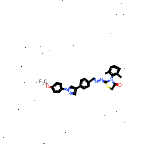 Cc1cccc(C)c1N1C(=O)CS/C1=N\N=C\c1ccc(-c2cnn(-c3ccc(OC(F)(F)F)cc3)c2)cc1